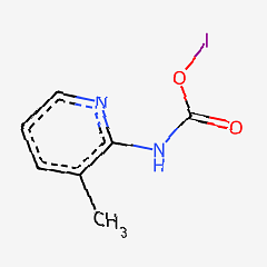 Cc1cccnc1NC(=O)OI